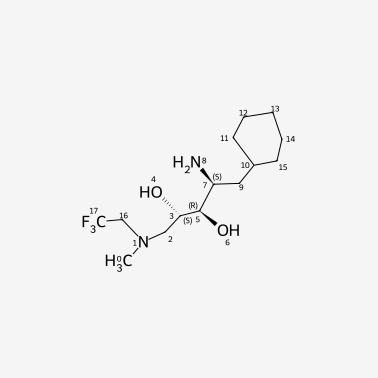 CN(C[C@H](O)[C@H](O)[C@@H](N)CC1CCCCC1)CC(F)(F)F